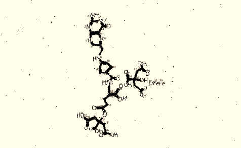 Nc1nc2ncc(CNc3ccc(C(=O)NC(CCC(=O)OC(CC(=O)O)(CC(=O)O)C(=O)O)C(=O)O)cc3)nc2c(=O)[nH]1.O=C(O)CC(O)(CC(=O)O)C(=O)O.[Fe].[Fe].[Fe]